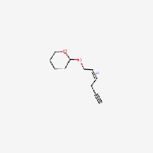 C#CC/C=C\COC1CCCCO1